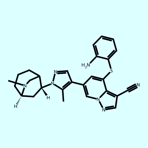 Cc1c(-c2cc(Sc3ccccc3N)c3c(C#N)cnn3c2)cnn1[C@@H]1C[C@H]2CCCC1CN2C